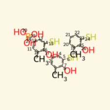 Cc1cccc(S)c1O.Cc1cccc(S)c1O.Cc1cccc(S)c1O.OP(O)O